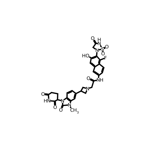 Cn1c(=O)n(C2CCC(=O)NC2=O)c2ccc(C3CN(CC(=O)Nc4ccc5c(F)c(N6CC(=O)NS6(=O)=O)c(O)cc5c4)C3)cc21